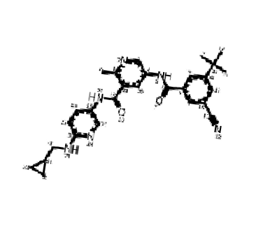 Cc1ncc(NC(=O)c2cc(C#N)cc(C(C)(C)C)c2)cc1C(=O)Nc1ccc(NCC2CC2)nc1